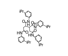 CC(C)c1cccc(NC(=O)CC(C(=O)Nc2cccc(C(C)C)c2)C(CC(=O)Nc2cccc(C(C)C)c2)C(=O)Nc2cccc(C(C)C)c2)c1